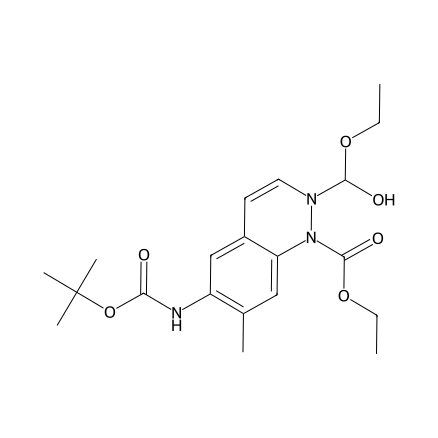 CCOC(=O)N1c2cc(C)c(NC(=O)OC(C)(C)C)cc2C=CN1C(O)OCC